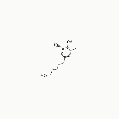 Cc1cc(CCCCCO)cc(C(C)(C)C)c1O